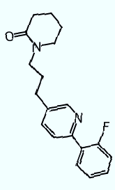 O=C1CCCCN1CCCc1ccc(-c2ccccc2F)nc1